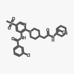 CS(=O)(=O)c1cnc(N2CCC(CC(=O)NC3CN4CCC3CC4)CC2)c(NC(=O)c2cccc(Cl)c2)c1